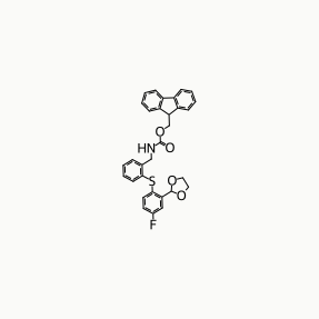 O=C(NCc1ccccc1Sc1ccc(F)cc1C1OCCO1)OCC1c2ccccc2-c2ccccc21